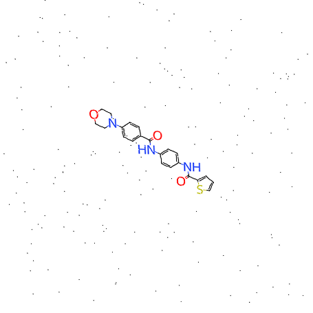 O=C(Nc1ccc(NC(=O)c2cccs2)cc1)c1ccc(N2CCOCC2)cc1